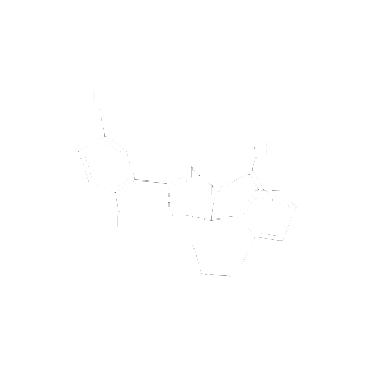 CC(=O)N1N=C(c2cc(F)ccc2F)S[C@@]12CCOc1ccccc12